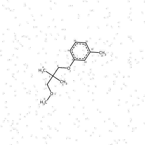 COCC(C)(C)COc1cccc(C)c1